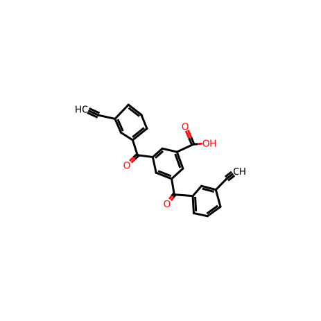 C#Cc1cccc(C(=O)c2cc(C(=O)O)cc(C(=O)c3cccc(C#C)c3)c2)c1